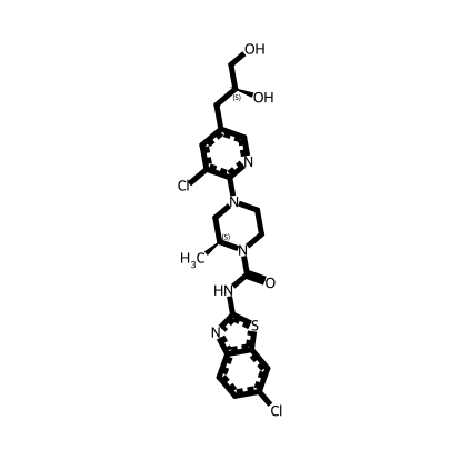 C[C@H]1CN(c2ncc(C[C@H](O)CO)cc2Cl)CCN1C(=O)Nc1nc2ccc(Cl)cc2s1